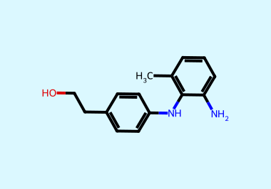 Cc1cccc(N)c1Nc1ccc(CCO)cc1